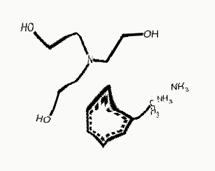 Cc1ccccc1.N.N.OCCN(CCO)CCO